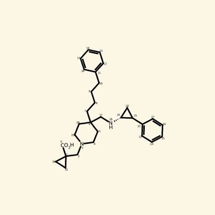 O=C(O)C1(CN2CCC(CCCCc3ccccc3)(CN[C@@H]3CC3c3ccccc3)CC2)CC1